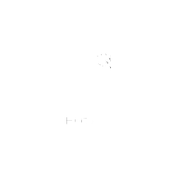 O=C(O)CCCCCCCCc1cccnn1